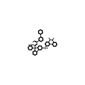 C/C=C(\C=C(/CS)C1(c2ccccc2)c2ccccc2-c2cc(Nc3ccc4c(c3)-c3ccccc3C(C)C4C)ccc21)c1cccc(-c2ccccc2)c1